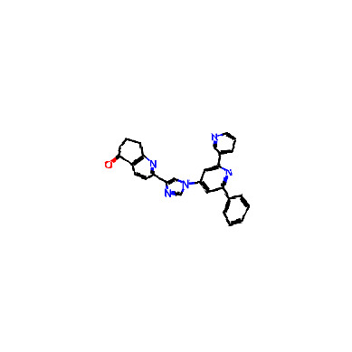 O=C1CCCc2nc(-c3cn(-c4cc(-c5ccccc5)nc(-c5cccnc5)c4)cn3)ccc21